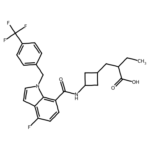 CCC(CC1CC(NC(=O)c2ccc(F)c3ccn(Cc4ccc(C(F)(F)F)cc4)c23)C1)C(=O)O